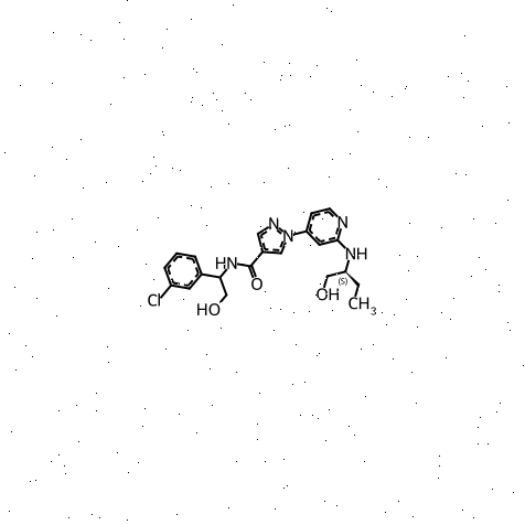 CC[C@@H](CO)Nc1cc(-n2cc(C(=O)NC(CO)c3cccc(Cl)c3)cn2)ccn1